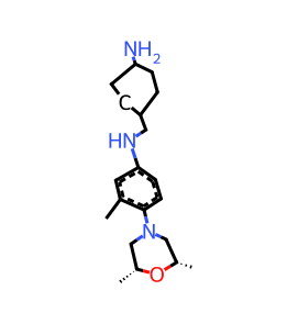 Cc1cc(NCC2CCC(N)CC2)ccc1N1C[C@@H](C)O[C@@H](C)C1